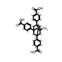 CC12CC3(c4ccc(C(=O)O)cc4)CC(c4ccc(C(=O)O)cc4)(C1)CC(c1ccc(C(=O)O)cc1)(C2)C3